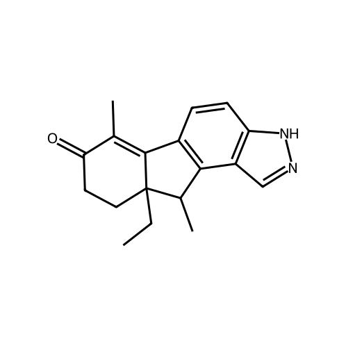 CCC12CCC(=O)C(C)=C1c1ccc3[nH]ncc3c1C2C